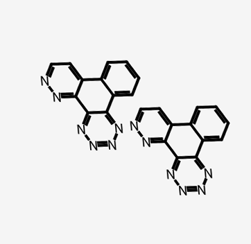 c1ccc2c(c1)c1ccnnc1c1nnnnc21.c1ccc2c(c1)c1ccnnc1c1nnnnc21